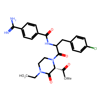 COC(=O)[C@@H]1C(=O)N(CC(=O)O)CCN1C(=O)C(Cc1ccc(Cl)cc1)NC(=O)c1ccc(C(=N)N)cc1